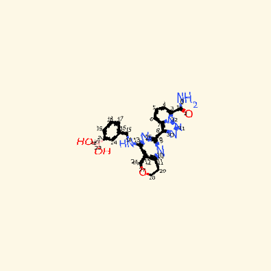 NC(=O)c1cccc2c(-c3nc4c(c(NCc5cccc(B(O)O)c5)n3)COCC4)nnn12